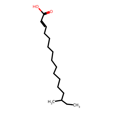 CCC(C)CCCCCCCCCCC=CC(=O)O